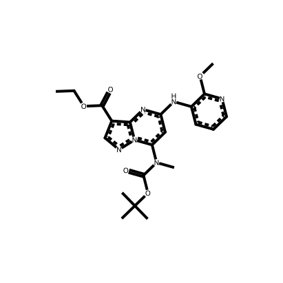 CCOC(=O)c1cnn2c(N(C)C(=O)OC(C)(C)C)cc(Nc3cccnc3OC)nc12